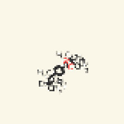 CCC(C)(C)CC(C)(C)c1ccc(B2OC(C)(C)C(C)(C)O2)cc1